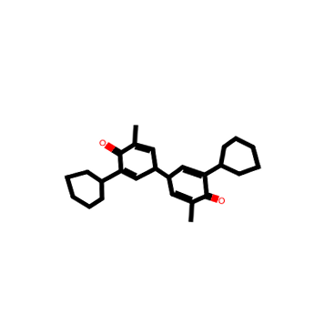 CC1=CC(C2C=C(C)C(=O)C(C3CCCCC3)=C2)C=C(C2CCCCC2)C1=O